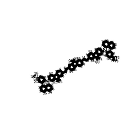 CC1(C)c2cc(/C=C/c3ccc4c(c3)C(C)(C)c3cc(N(c5ccc([Si](C)(C)C)cc5)c5cccc6ccccc56)ccc3-4)ccc2-c2ccc(/C=C/c3ccc4c(c3)C(C)(C)c3cc(N(c5ccc([Si](C)(C)C)cc5)c5cccc6ccccc56)ccc3-4)cc21